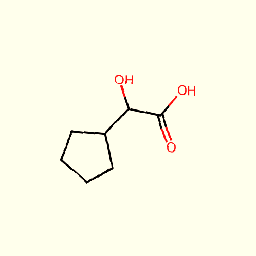 O=C(O)C(O)C1CCCC1